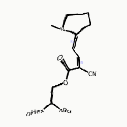 CCCCCCC(CCCC)COC(=O)/C(C#N)=C\C=C1/CCCN1C